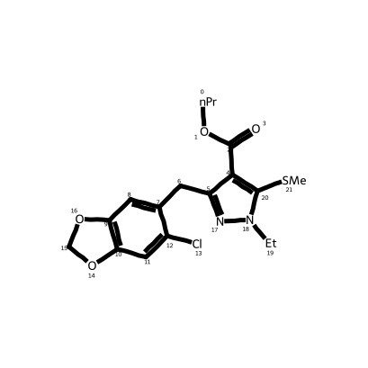 CCCOC(=O)c1c(Cc2cc3c(cc2Cl)OCO3)nn(CC)c1SC